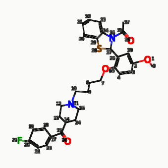 COc1ccc(OCCCCN2CCC(C(=O)c3ccc(F)cc3)CC2)c(C2Sc3ccccc3N2C(C)=O)c1